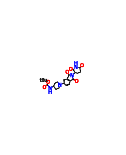 CC(C)(C)OC(=O)NC1CCN(c2ccc3c(c2)C(=O)N(C2CCC(=O)NC2=O)C3=O)CC1